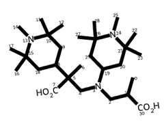 CC(CN(CC(C)(C(=O)O)C1CC(C)(C)N(C)C(C)(C)C1)C1CC(C)(C)N(C)C(C)(C)C1)C(=O)O